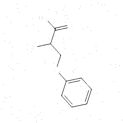 O=C(O)C(Br)COc1ccccc1